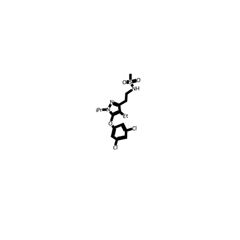 CCc1c(CCNS(C)(=O)=O)nn(C(C)C)c1Oc1cc(Cl)cc(Cl)c1